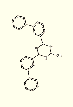 CC1NC(c2cccc(-c3ccccc3)c2)NC(c2cccc(-c3ccccc3)c2)N1